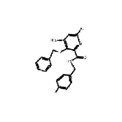 Nc1cc(Br)nc(C(=O)NCc2ccc(F)cc2)c1OCc1ccccc1